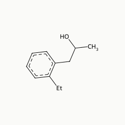 CCc1ccccc1CC(C)O